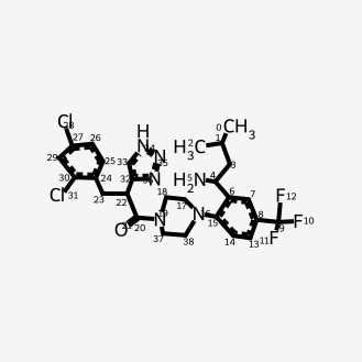 CC(C)CC(N)c1cc(C(F)(F)F)ccc1N1CCN(C(=O)C(Cc2ccc(Cl)cc2Cl)c2c[nH]nn2)CC1